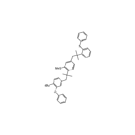 CSc1cc(CC(C)(C)c2ccccc2Sc2ccccc2)ccc1C(C)(C)Cc1ccc(C(C)(C)C)c(Oc2ccccc2)c1